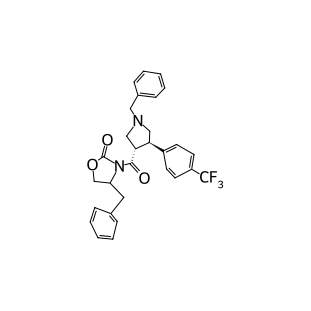 O=C1OCC(Cc2ccccc2)N1C(=O)[C@@H]1CN(Cc2ccccc2)C[C@H]1c1ccc(C(F)(F)F)cc1